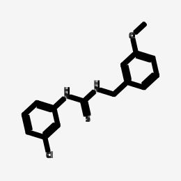 COc1cccc(CNC(=S)Nc2cccc(Cl)c2)c1